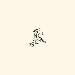 CC#N.[C+4].[S-2].[S-2]